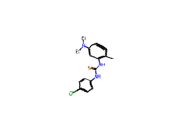 CCN(CC)c1ccc(C)c(NC(=S)Nc2ccc(Cl)cc2)c1